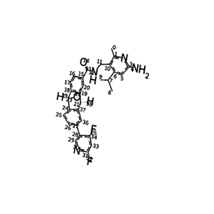 Cc1nc(N)cc(C(C)C)c1CNC(=O)c1ccc2c(c1)[C@@H]1O[C@H]2c2ccc(-c3cnc(F)cc3F)cc21